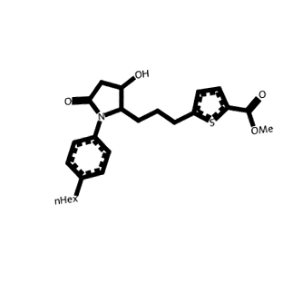 CCCCCCc1ccc(N2C(=O)CC(O)C2CCCc2ccc(C(=O)OC)s2)cc1